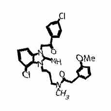 COc1cccc(CC(=O)N(C)CCCn2c(=N)n(CC(=O)c3ccc(Cl)cc3)c3cccc(Cl)c32)c1